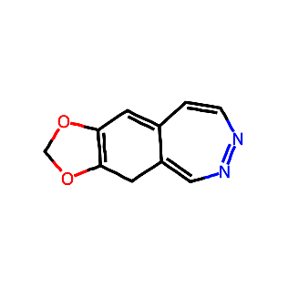 C1=CC2=CC3=C(CC2=CN=N1)OCO3